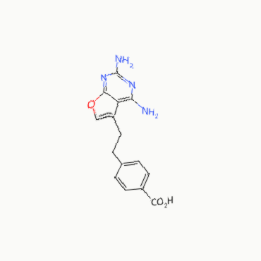 Nc1nc(N)c2c(CCc3ccc(C(=O)O)cc3)coc2n1